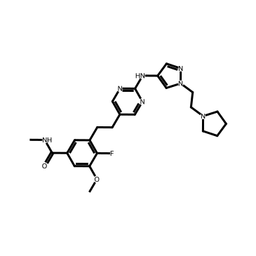 CNC(=O)c1cc(CCc2cnc(Nc3cnn(CCN4CCCC4)c3)nc2)c(F)c(OC)c1